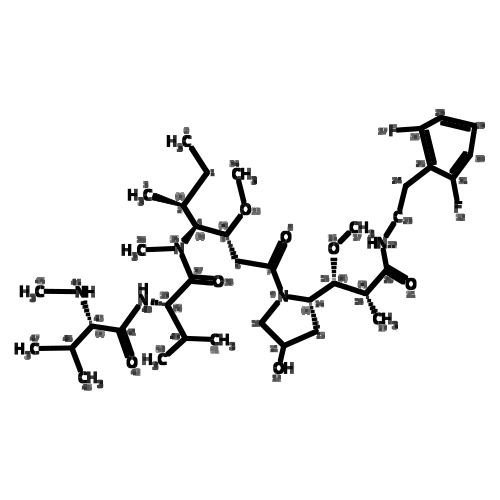 CC[C@H](C)[C@@H]([C@@H](CC(=O)N1CC(O)C[C@H]1[C@H](OC)[C@@H](C)C(=O)NCCc1c(F)cccc1F)OC)N(C)C(=O)[C@@H](NC(=O)[C@@H](NC)C(C)C)C(C)C